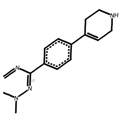 C=N/C(=N\N(C)C)c1ccc(C2=CCNCC2)cc1